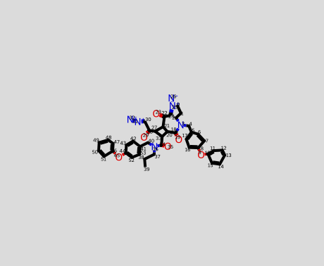 CCCN(Cc1ccc(Oc2ccccc2)cc1)C(=O)C1C(C(=O)C=[N+]=[N-])C(C(=O)C=[N+]=[N-])C1C(=O)N(CCC)Cc1ccc(Oc2ccccc2)cc1